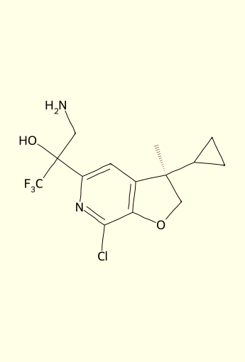 C[C@]1(C2CC2)COc2c1cc(C(O)(CN)C(F)(F)F)nc2Cl